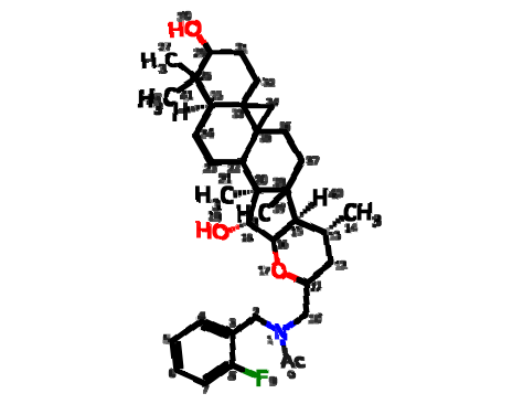 CC(=O)N(Cc1ccccc1F)CC1C[C@@H](C)[C@H]2C(O1)[C@H](O)[C@@]1(C)C3CC[C@H]4C(C)(C)C(O)CCC45CC35CCC21C